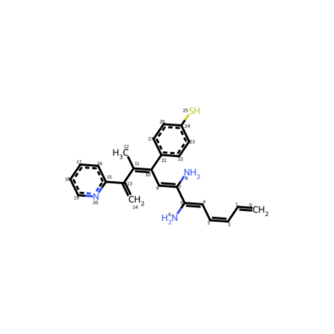 C=C\C=C/C=C(N)/C(N)=C/C(=C(/C)C(=C)c1ccccn1)c1ccc(S)cc1